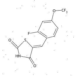 O=C1NC(=O)C(=Cc2ccc(OC(F)(F)F)cc2F)S1